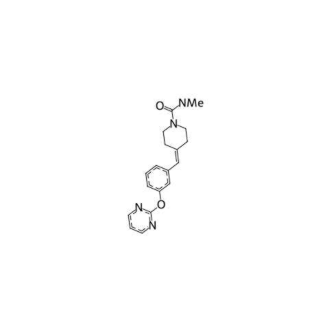 CNC(=O)N1CCC(=Cc2cccc(Oc3ncccn3)c2)CC1